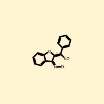 CC/N=C1\C(=C(/N=O)c2ccccc2)Oc2ccccc21